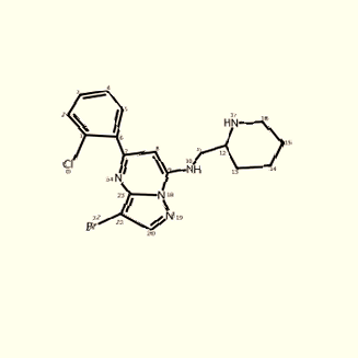 Clc1ccccc1-c1cc(NCC2CCCCN2)n2ncc(Br)c2n1